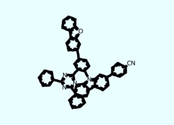 N#Cc1ccc(-c2ccc3c4ccccc4n(-c4ccc(-c5ccc6c(c5)oc5ccccc56)cc4-c4nc(-c5ccccc5)nc(-c5ccccc5)n4)c3c2)cc1